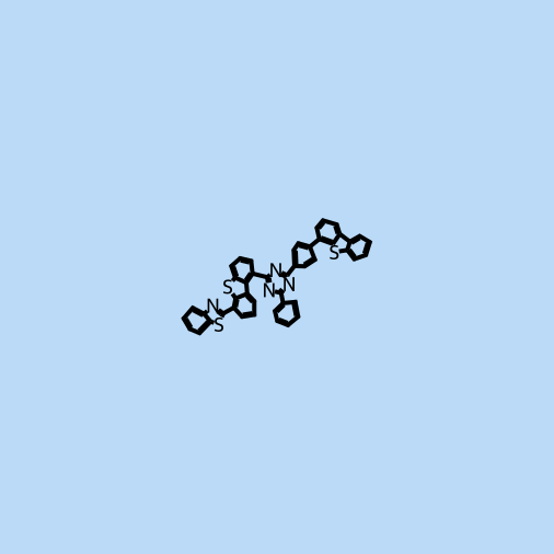 c1ccc(-c2nc(-c3ccc(-c4cccc5c4sc4ccccc45)cc3)nc(-c3cccc4sc5c(-c6nc7ccccc7s6)cccc5c34)n2)cc1